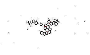 CC(C)(C)c1ccc(-c2ccc(-c3ccc(N(c4ccc5c(c4)-c4ccccc4C5(C)C)c4ccc5ccccc5c4-c4ccccc4-c4cccc5sc6ccccc6c45)c(-c4ccccc4)c3)cc2)cc1